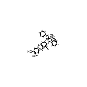 Cc1cc(OC(Cc2ccccc2)(Cc2ccccc2)P(=O)(O)O)cc(C)c1Cc1ccc(O)c(C(C)C)c1